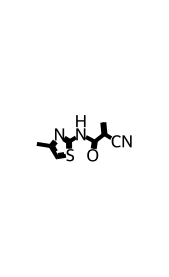 C=C(C#N)C(=O)Nc1nc(C)cs1